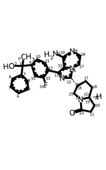 CC(O)(c1ccccc1)c1ccc(-c2nc([C@@H]3CC[C@H]4CCC(=O)N4C3)n3ccnc(N)c23)c(F)c1